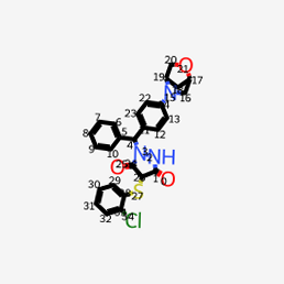 O=C1NN(C(c2ccccc2)c2ccc(N3CC4CC3CO4)cc2)C(=O)C1Sc1ccccc1Cl